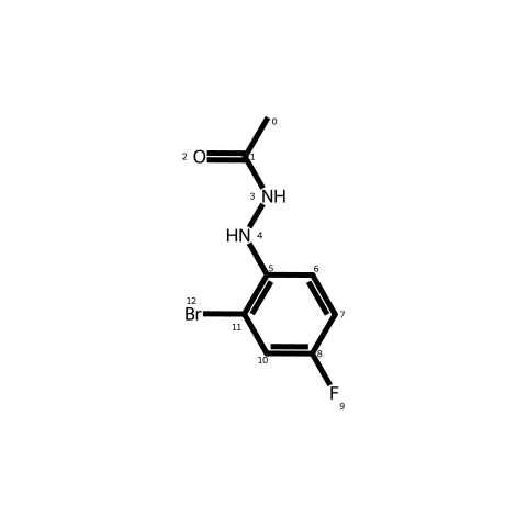 CC(=O)NNc1ccc(F)cc1Br